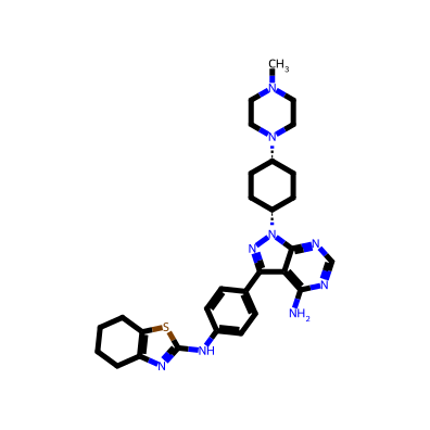 CN1CCN([C@H]2CC[C@@H](n3nc(-c4ccc(Nc5nc6c(s5)CCCC6)cc4)c4c(N)ncnc43)CC2)CC1